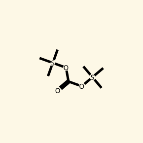 CS(C)(C)OC(=O)OS(C)(C)C